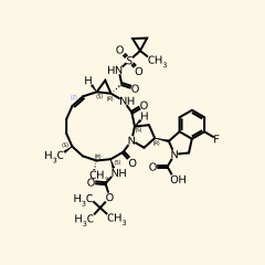 C[C@H]1CC/C=C\[C@@H]2C[C@@]2(C(=O)NS(=O)(=O)C2(C)CC2)NC(=O)[C@@H]2C[C@@H](C3c4cccc(F)c4CN3C(=O)O)CN2C(=O)[C@@H](NC(=O)OC(C)(C)C)[C@H](C)C1